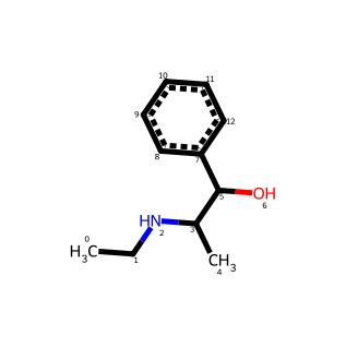 CCNC(C)C(O)c1ccccc1